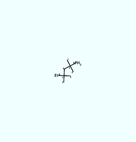 CCC(C)(C)CC(C)(C)P